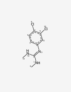 CNC(=Nc1ccc(Cl)c(Cl)c1)NC